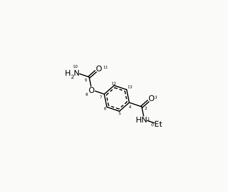 CCNC(=O)c1ccc(OC(N)=O)cc1